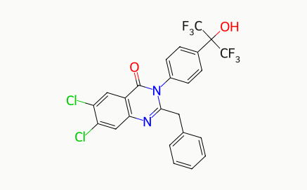 O=c1c2cc(Cl)c(Cl)cc2nc(Cc2ccccc2)n1-c1ccc(C(O)(C(F)(F)F)C(F)(F)F)cc1